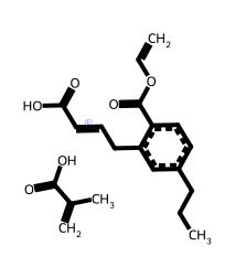 C=C(C)C(=O)O.C=COC(=O)c1ccc(CCC)cc1C/C=C/C(=O)O